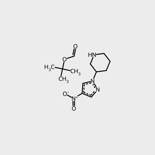 CC(C)(C)OC=O.O=[N+]([O-])c1cnn(C2CCCNC2)c1